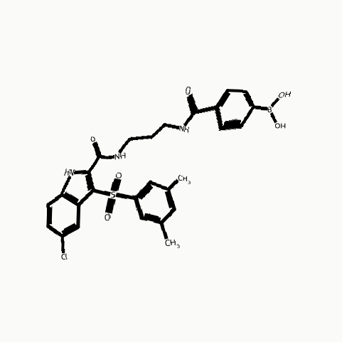 Cc1cc(C)cc(S(=O)(=O)c2c(C(=O)NCCCNC(=O)c3ccc(B(O)O)cc3)[nH]c3ccc(Cl)cc23)c1